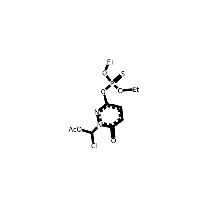 CCOP(=S)(OCC)Oc1ccc(=O)n(C(Cl)OC(C)=O)n1